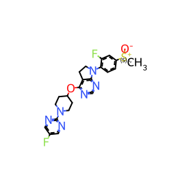 C[S@@+]([O-])c1ccc(N2CCc3c(OC4CCN(c5ncc(F)cn5)CC4)ncnc32)c(F)c1